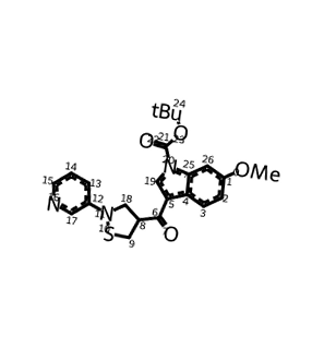 COc1ccc2c(C(=O)C3CSN(c4cccnc4)C3)cn(C(=O)OC(C)(C)C)c2c1